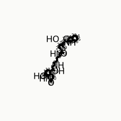 O=C(NCCCCNCC(O)c1ccc(O)c2[nH]c(=O)ccc12)c1ccc(CNC2(C(=O)O)Cc3ccccc3C2)s1